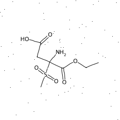 CCOC(=O)C(N)(CC(=O)O)S(C)(=O)=O